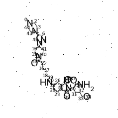 CN1CCN(c2cnn(C3CCN(C(=O)CCCCCNc4ccc5c(c4)C(=O)N(C(CCC=O)C(N)O)C5=O)CC3)c2)CC1